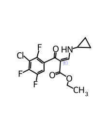 CCOC(=O)/C(=C/NC1CC1)C(=O)c1cc(F)c(F)c(Cl)c1F